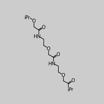 CC(C)OCC(=O)NCCOCC(=O)NCCOCC(=O)C(C)C